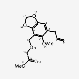 C=CCc1cc2c(c(COCC(=O)OC)c1OC)OCO2